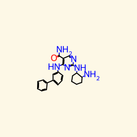 NC(=O)c1cnc(N[C@@H]2CCCC[C@@H]2N)nc1Nc1cccc(-c2ccccc2)c1